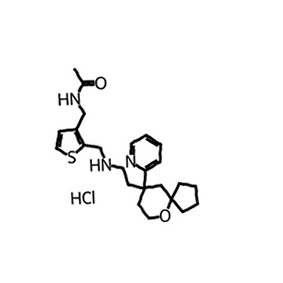 CC(=O)NCc1ccsc1CNCCC1(c2ccccn2)CCOC2(CCCC2)C1.Cl